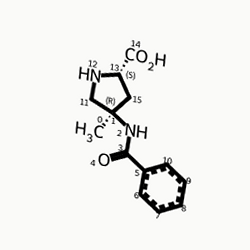 C[C@]1(NC(=O)c2ccccc2)CN[C@H](C(=O)O)C1